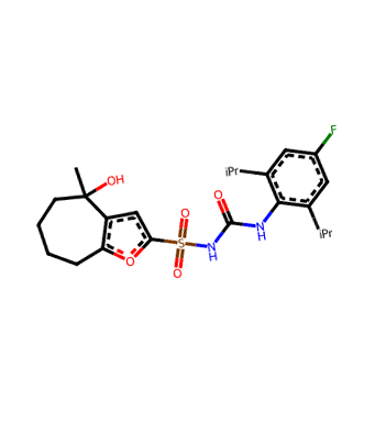 CC(C)c1cc(F)cc(C(C)C)c1NC(=O)NS(=O)(=O)c1cc2c(o1)CCCCC2(C)O